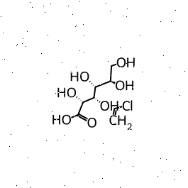 C=CCl.O=C(O)[C@H](O)[C@@H](O)[C@H](O)[C@H](O)CO